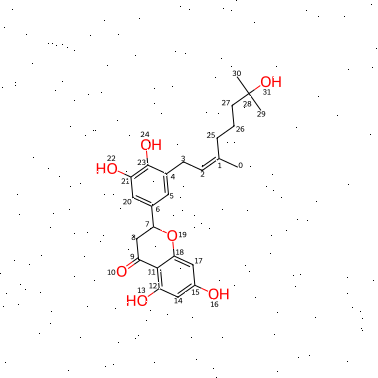 CC(=CCc1cc(C2CC(=O)c3c(O)cc(O)cc3O2)cc(O)c1O)CCCC(C)(C)O